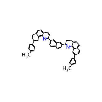 Cc1ccc(-c2ccc3ccc4ccc(-c5ccc6ccc(-c7ccc8ccc9ccc(-c%10ccc(C)cc%10)cc9c8n7)cc6c5)nc4c3c2)cc1